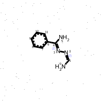 N/C=N\N=C(/N)c1ccccc1